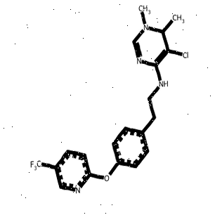 CC1C(Cl)=C(NCCc2ccc(Oc3ccc(C(F)(F)F)cn3)cc2)N=CN1C